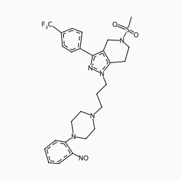 CS(=O)(=O)N1CCc2c(c(-c3ccc(C(F)(F)F)cc3)nn2CCCN2CCN(c3ccccc3N=O)CC2)C1